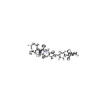 NS(=O)(=O)c1ccc(-c2ccc(/C=C3\C(=O)NN(c4ccccc4)C3=O)o2)cc1